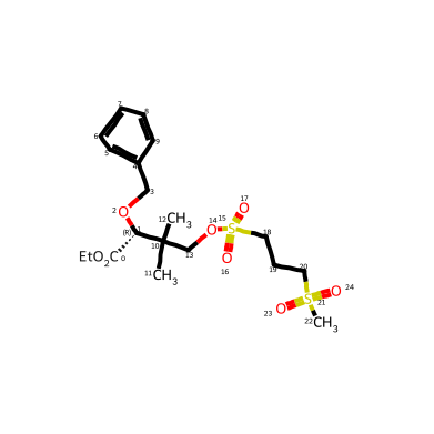 CCOC(=O)[C@H](OCc1ccccc1)C(C)(C)COS(=O)(=O)CCCS(C)(=O)=O